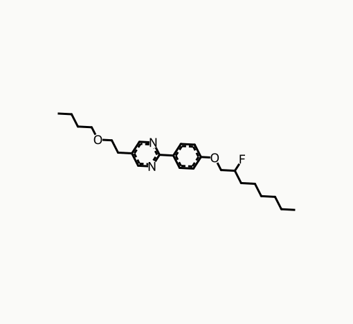 CCCCCCC(F)COc1ccc(-c2ncc(CCOCCCC)cn2)cc1